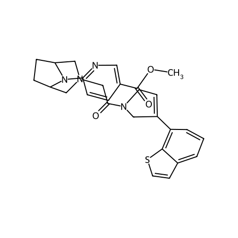 COC(=O)c1ccc(N2C3CCC2CN(CC(=O)N2CC=C(c4cccc5ccsc45)C2)C3)nc1